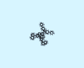 c1ccc(-c2ccc(N(c3ccc(-c4ccccc4)cc3)c3cc4c5c(c3)Oc3cc(-c6cccc7ccccc67)ccc3B5c3ccc(-c5cccc6ccccc56)cc3O4)cc2)cc1